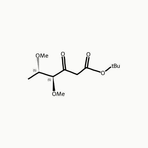 CO[C@@H](C)[C@H](OC)C(=O)CC(=O)OC(C)(C)C